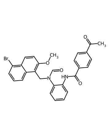 COc1ccc2c(Br)cccc2c1CN(C=O)c1ccccc1NC(=O)c1ccc(C(C)=O)cc1